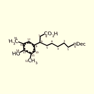 CCCCCCCCCCCCCCCC(CC(=O)O)c1cc(C)c(O)c(C)c1